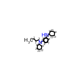 CCCCN(c1cccc(NC2CCCCC2)c1)C1CCCCC1